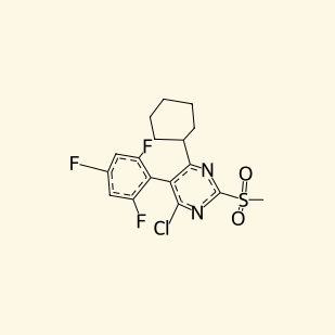 CS(=O)(=O)c1nc(Cl)c(-c2c(F)cc(F)cc2F)c(C2CCCCC2)n1